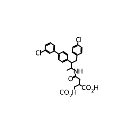 CC(NC(=O)CC(CC(=O)O)C(=O)O)C(Cc1ccc(Cl)cc1)c1ccc(-c2cccc(Cl)c2)cc1